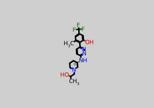 Cc1cc(C(F)(F)F)cc(O)c1-c1ccc(N[C@H]2CCCN(CC(C)O)C2)nn1